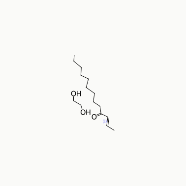 C/C=C/C(=O)CCCCCCCCC.OCCO